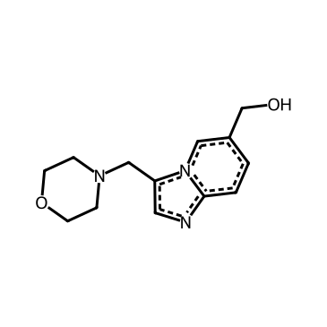 OCc1ccc2ncc(CN3CCOCC3)n2c1